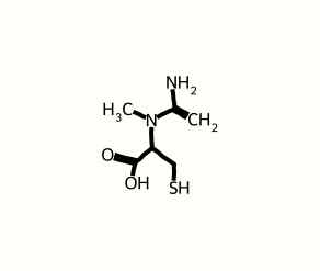 C=C(N)N(C)C(CS)C(=O)O